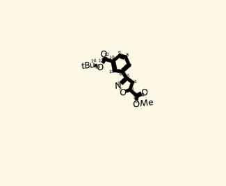 COC(=O)C1CC(c2cccc(C(=O)OC(C)(C)C)c2)=NO1